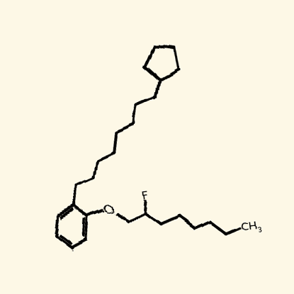 CCCCCCC(F)COc1c[c]ccc1CCCCCCCCC1CCCC1